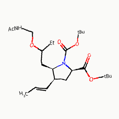 CC=C[C@@H]1C[C@H](C(=O)OC(C)(C)C)N(C(=O)OC(C)(C)C)[C@@H]1CC(CC)OCNC(C)=O